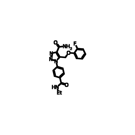 CCNC(=O)c1ccc(-n2nnc(C(N)=O)c2COc2ccccc2F)cc1